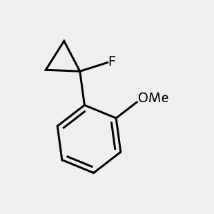 COc1ccccc1C1(F)CC1